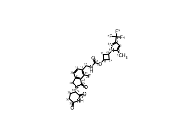 Cc1cc(C(F)(F)F)nn1C1CC(OC(=O)NCc2ccc3c(c2F)C(=O)N([C@H]2CCC(=O)NC2=O)C3)C1